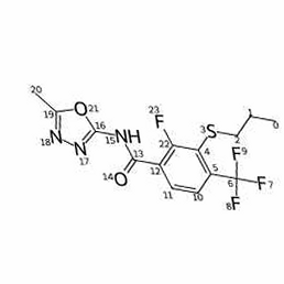 CCCSc1c(C(F)(F)F)ccc(C(=O)Nc2nnc(C)o2)c1F